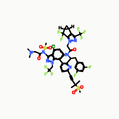 CN(C)CC(=O)N(c1nn(CC(F)(F)F)c2c(-c3ccc(C#CC(C)(C)S(C)(=O)=O)nc3C(Cc3cc(F)cc(F)c3)NC(=O)Cn3nc(C(F)(F)F)c4c3C(F)(F)[C@@H]3C[C@H]43)ccc(Cl)c12)S(C)(=O)=O